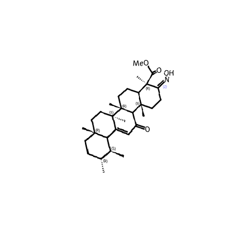 COC(=O)[C@@]1(C)/C(=N\O)CC[C@@]2(C)C1CC[C@]1(C)C2C(=O)C=C2C3[C@@H](C)[C@H](C)CC[C@]3(C)CC[C@]21C